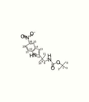 CC(C)(C)OC(=O)NCC(C)(C)c1cc2cc([N+](=O)[O-])ccc2[nH]1